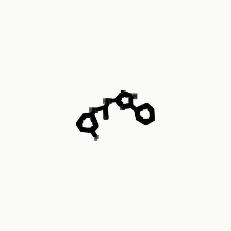 O=C(Nc1cccc(F)c1)Nc1n[nH]c(-c2ccccc2)n1